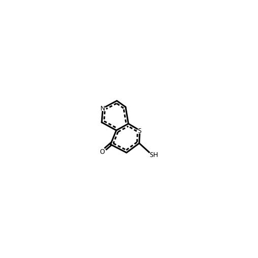 O=c1cc(S)sc2ccncc12